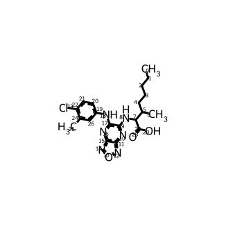 CCCCCC(C)C(Nc1nc2nonc2nc1Nc1ccc(Cl)c(C)c1)C(=O)O